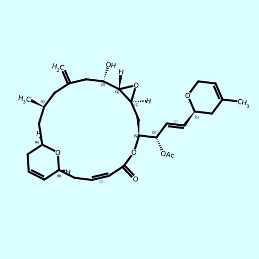 C=C1C[C@H](C)C[C@@H]2CC=C[C@@H](C/C=C\C(=O)O[C@H]([C@H](/C=C/[C@@H]3CC(C)=CCO3)OC(C)=O)C[C@@H]3O[C@H]3[C@@H](O)C1)O2